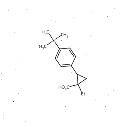 CCC1(C(=O)O)CC1c1ccc([Si](C)(C)C)cc1